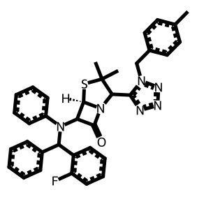 Cc1ccc(Cn2nnnc2C2N3C(=O)C(N(c4ccccc4)C(c4ccccc4)c4ccccc4F)[C@H]3SC2(C)C)cc1